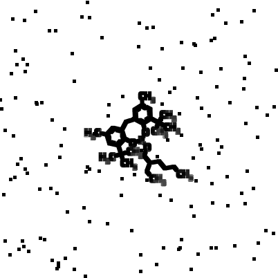 CCCCC(CC)COP1Oc2c(cc(C)cc2C(C)(C)C)Cc2cc(C)cc(C(C)(C)C)c2O1